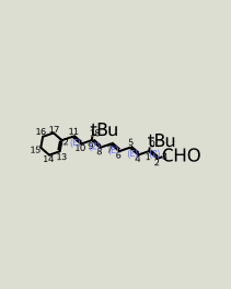 CC(C)(C)C(=C\C=O)/C=C/C=C/C=C(/C=C/C1=CCCCC1)C(C)(C)C